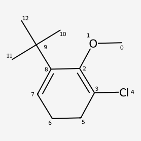 COC1=C(Cl)CCC=C1C(C)(C)C